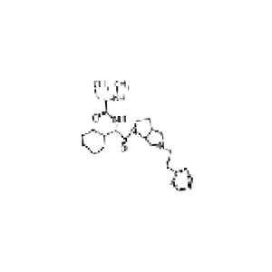 CC[C@H](NC)C(=O)N[C@H](C(=O)N1CCC2CN(CCc3ccccc3)CC21)C1CCCCC1